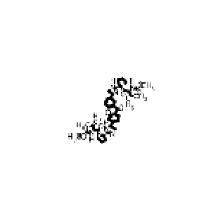 COC(=O)N[C@H](C(=O)N1CCC[C@H]1C1=NC(c2ccc3oc4cc(C5CN=C([C@@H]6CCCN6C(=O)[C@@H](NC(=O)OC)C(C)C)N5)ccc4c(=O)c3c2)CN1)C(C)C